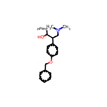 CCCCCC(O)C(CN(C)C)c1ccc(OCc2ccccc2)cc1